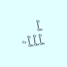 CCO.CCO.CCO.CCO.[Cs]